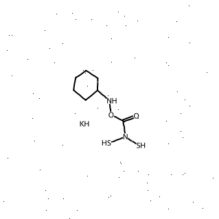 O=C(ONC1CCCCC1)N(S)S.[KH]